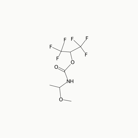 COC(C)NC(=O)OC(C(F)(F)F)C(F)(F)F